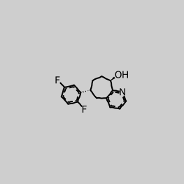 O[C@@H]1CC[C@@H](c2cc(F)ccc2F)Cc2cccnc21